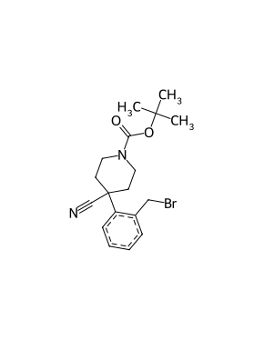 CC(C)(C)OC(=O)N1CCC(C#N)(c2ccccc2CBr)CC1